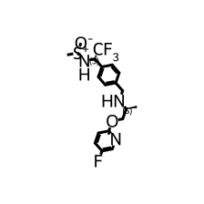 C[C@@H](COc1ccc(F)cn1)NCc1ccc([C@H](N[S+](C)[O-])C(F)(F)F)cc1